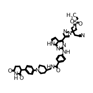 CCS(=O)(=O)N1CC(CC#N)(n2cc(-c3nc(Nc4ccc(C(=O)NCC5CCN(c6ccc(C7CCC(=O)NC7=O)cc6)CC5)cc4)nc4[nH]ccc34)cn2)C1